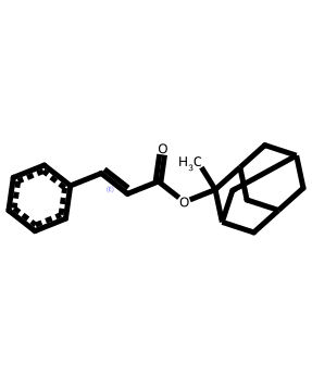 CC1(OC(=O)/C=C/c2ccccc2)C2CC3CC(C2)CC1C3